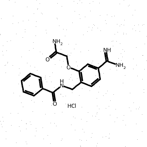 Cl.N=C(N)c1ccc(CNC(=O)c2ccccc2)c(OCC(N)=O)c1